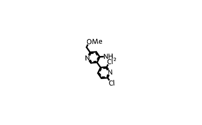 COCc1cc(N)c(-c2ccc(Cl)nc2Cl)cn1